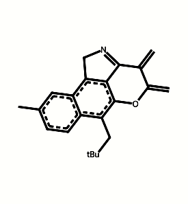 C=C1Oc2c3c(c4cc(C)ccc4c2CC(C)(C)C)CN=C3C1=C